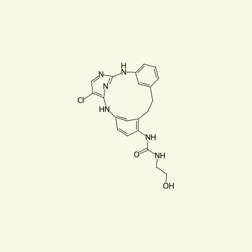 O=C(NCCO)Nc1ccc2cc1CCc1cccc(c1)Nc1ncc(Cl)c(n1)N2